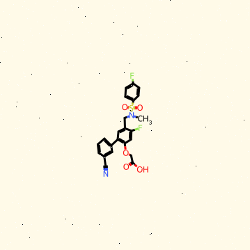 CN(Cc1cc(-c2cccc(C#N)c2)c(OCC(=O)O)cc1F)S(=O)(=O)c1ccc(F)cc1